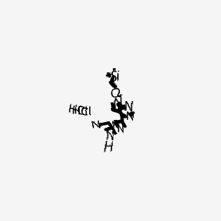 C[Si](C)(C)CCOCn1ccc2c(-c3cnn(C4(CC#N)CNC4)c3)ncnc21.Cl.Cl